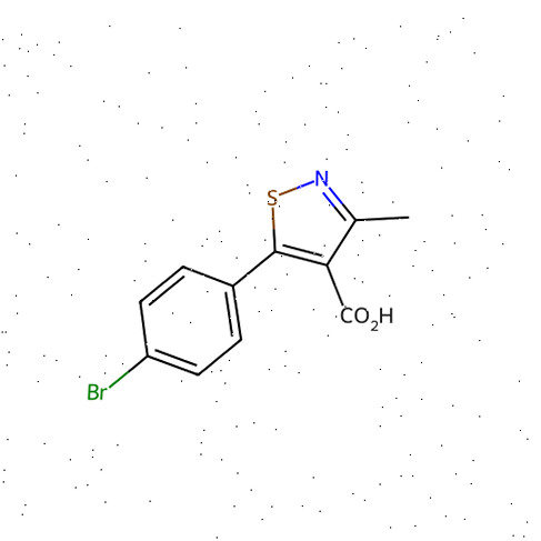 Cc1nsc(-c2ccc(Br)cc2)c1C(=O)O